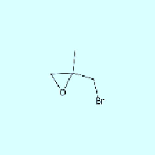 CC1(CBr)CO1